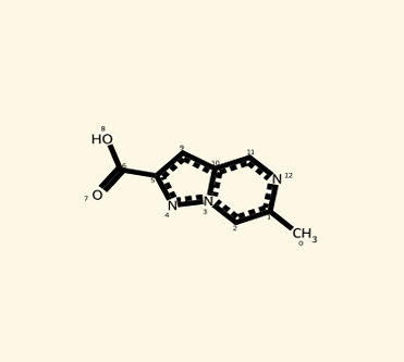 Cc1cn2nc(C(=O)O)cc2cn1